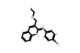 CCOCc1cc2ccccc2o/c1=N\c1ccc(Br)cc1